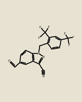 N#Cc1nn(Cc2ccc(C(F)(F)F)cc2C(F)(F)F)c2ccc(C=O)cc12